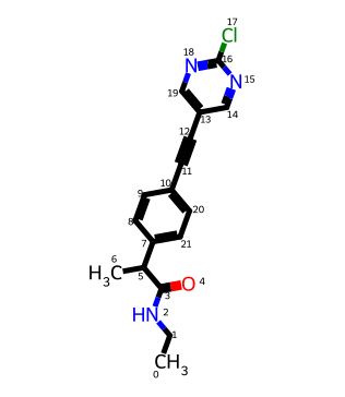 CCNC(=O)C(C)c1ccc(C#Cc2cnc(Cl)nc2)cc1